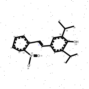 CC(C)c1cc(/C=C/c2ccccc2[N+](=O)[O-])cc(C(C)C)c1O